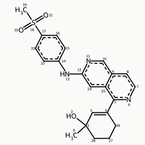 CC1(O)C=C(c2nccc3cnc(Nc4ccc(S(C)(=O)=O)cc4)cc23)CCC1